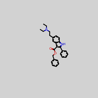 CCN(CC)CCc1ccc2[nH]c(-c3ccccc3)c(C(=O)OCc3ccccc3)c2c1